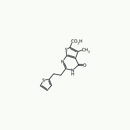 Cc1c(C(=O)O)sc2nc(CCc3cccs3)[nH]c(=O)c12